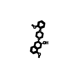 COc1ccccc1N1CCN([C@@H]2Cc3cccc(OC)c3C[C@H]2O)CC1